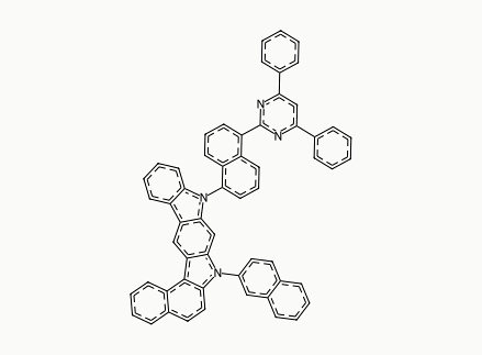 c1ccc(-c2cc(-c3ccccc3)nc(-c3cccc4c(-n5c6ccccc6c6cc7c8c9ccccc9ccc8n(-c8ccc9ccccc9c8)c7cc65)cccc34)n2)cc1